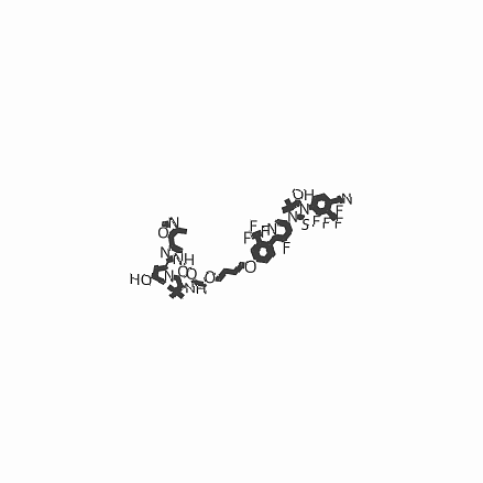 Cc1ncoc1-c1c[nH]c([C@@H]2C[C@@H](O)CN2C(=O)[C@@H](NC(=O)COCCCCOc2ccc(-c3ncc(N4C(=S)N(c5ccc(C#N)c(C(F)(F)F)c5F)C(O)C4(C)C)cc3F)c(C(F)(F)F)c2)C(C)(C)C)n1